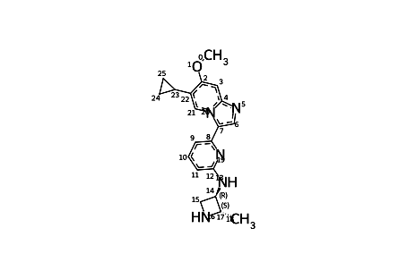 COc1cc2ncc(-c3cccc(N[C@@H]4CN[C@H]4C)n3)n2cc1C1CC1